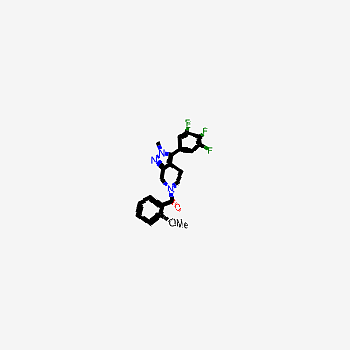 COc1ccccc1C(=O)N1CCc2c(nn(C)c2-c2cc(F)c(F)c(F)c2)C1